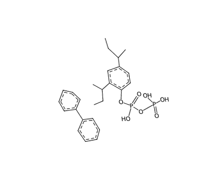 CCC(C)c1ccc(OP(=O)(O)OP(=O)(O)O)c(C(C)CC)c1.c1ccc(-c2ccccc2)cc1